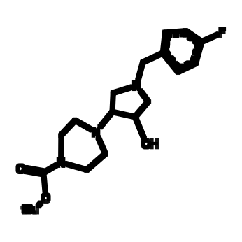 CC(C)(C)OC(=O)N1CCN(C2CN(Cc3ccc(F)cc3)CC2O)CC1